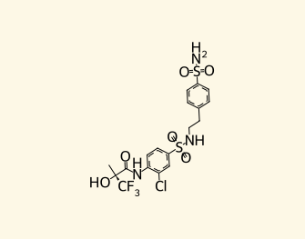 C[C@@](O)(C(=O)Nc1ccc(S(=O)(=O)NCCc2ccc(S(N)(=O)=O)cc2)cc1Cl)C(F)(F)F